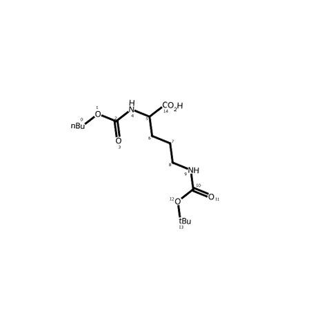 CCCCOC(=O)NC(CCCNC(=O)OC(C)(C)C)C(=O)O